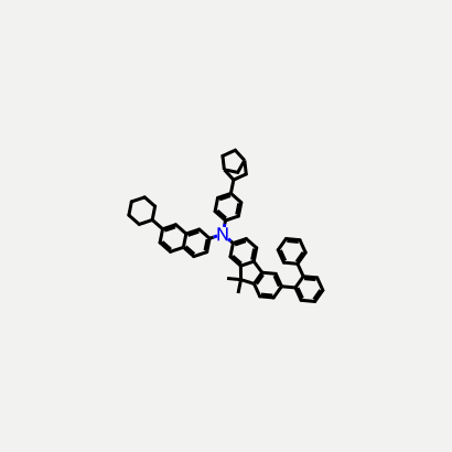 CC1(C)c2ccc(-c3ccccc3-c3ccccc3)cc2-c2ccc(N(c3ccc(C4CC5CCC4C5)cc3)c3ccc4ccc(C5CCCCC5)cc4c3)cc21